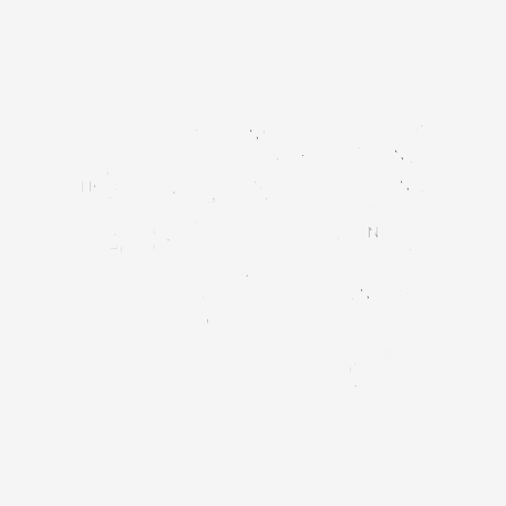 Cc1cc2nc(-c3ccc4c(c3)c(N3CCN(C5COC5)CC3)nn4C)sc2c(-c2ccc(Cl)cc2)c1[C@H](OC(C)(C)C)C(=O)O